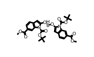 COC(=O)c1ccc2cc(OBOc3cc4ccc(C(=O)OC)cc4n3C(=O)OC(C)(C)C)n(C(=O)OC(C)(C)C)c2c1